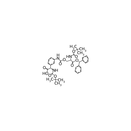 CC(C)(C)OC(=O)NC(COC(=O)Nc1cccc([C@@H](NC(=O)OC(C)(C)C)C(=O)O)c1)C(=O)OC(c1ccccc1)c1ccccc1